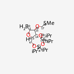 B[C@@H]1O[C@@H]2CO[Si](C(C)C)(C(C)C)O[Si](C(C)C)(C(C)C)OC2[C@@H]1OCSC